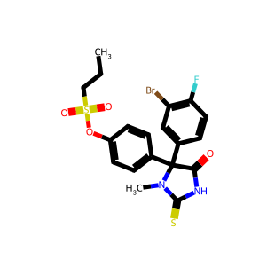 CCCS(=O)(=O)Oc1ccc(C2(c3ccc(F)c(Br)c3)C(=O)NC(=S)N2C)cc1